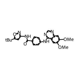 COc1cc2ncnc(Nc3ccc(C(=O)Nc4cc(C(C)(C)C)on4)cc3)c2cc1OC